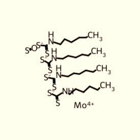 CCCCCCNC(=S)[S-].CCCCCCNC(=S)[S-].CCCCCCNC(=S)[S-].CCCCCCNC(=S)[S-].O=S.[Mo+4]